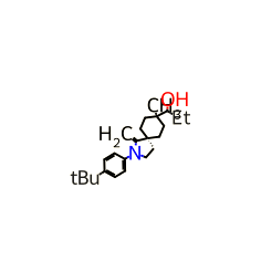 C=C1N(c2ccc(C(C)(C)C)cc2)CC[C@]12CC[C@@](C)(C(O)CC)CC2